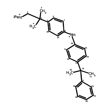 CCCC(C)CC(C)(C)c1ccc(Nc2ccc(C(C)(C)c3ccccc3)cc2)cc1